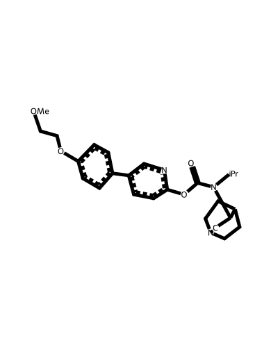 COCCOc1ccc(-c2ccc(OC(=O)N(C(C)C)C3CN4CCC3CC4)nc2)cc1